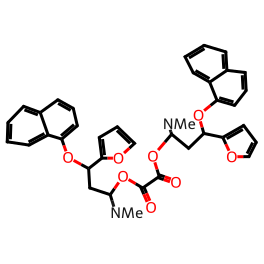 CNC(CC(Oc1cccc2ccccc12)c1ccco1)OC(=O)C(=O)OC(CC(Oc1cccc2ccccc12)c1ccco1)NC